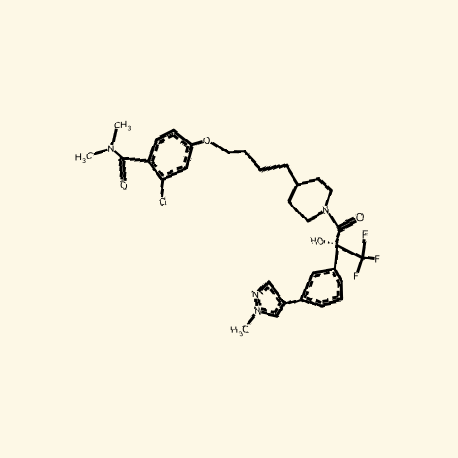 CN(C)C(=O)c1ccc(OCCCCC2CCN(C(=O)[C@](O)(c3cccc(-c4cnn(C)c4)c3)C(F)(F)F)CC2)cc1Cl